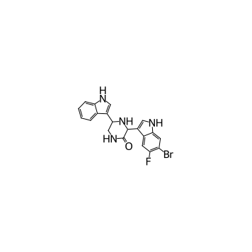 O=C1NCC(c2c[nH]c3ccccc23)NC1c1c[nH]c2cc(Br)c(F)cc12